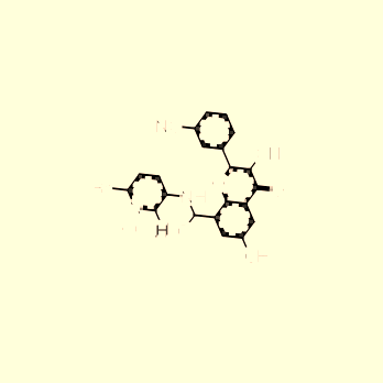 Cc1cc(C(C)Nc2ccc(Br)nc2C(=O)O)c2oc(-c3cccc(C#N)c3)c(C)c(=O)c2c1